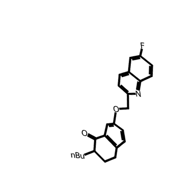 CCCCC1CCc2ccc(OCc3ccc4cc(F)ccc4n3)cc2C1=O